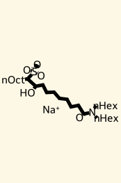 CCCCCCCCC(C(O)CCCCCCCC(=O)N(CCCCCC)CCCCCC)S(=O)(=O)[O-].[Na+]